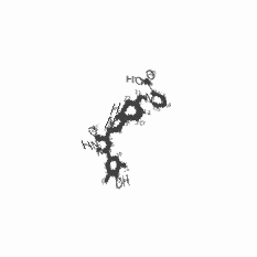 Cc1cc(-c2cc(-c3cc4ccc(CN5CCC[C@H]5C(=O)O)cc4[nH]3)c(=O)[nH]n2)cc(C)c1O